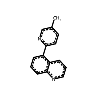 Cc1ccc(-c2cccc3ncccc23)nc1